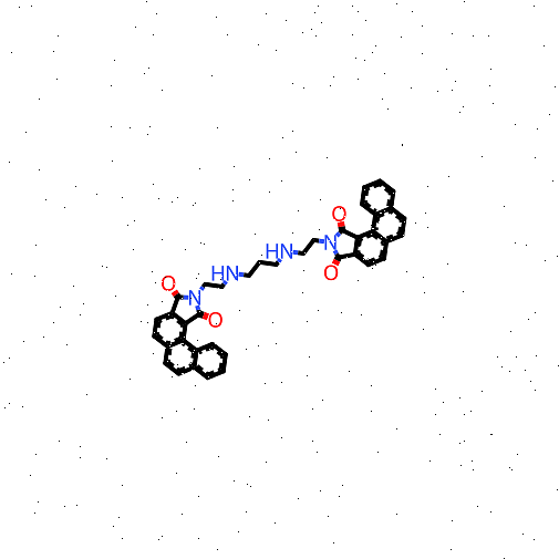 O=C1c2ccc3ccc4ccccc4c3c2C(=O)N1CCNCCCNCCN1C(=O)c2ccc3ccc4ccccc4c3c2C1=O